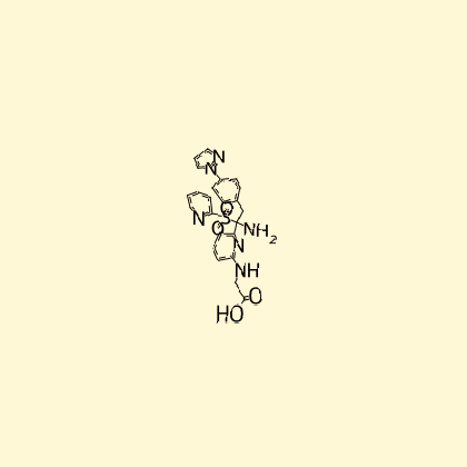 NC(Cc1ccc(-n2cccn2)cc1)(c1cccc(NCC(=O)O)n1)S(=O)(=O)c1ccccn1